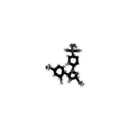 NS(=O)(=O)c1ccc(-n2nc(C(F)(F)F)nc2-c2ccc(C(F)(F)F)cc2F)nc1